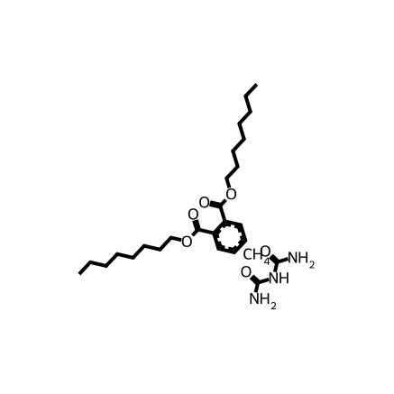 C.CCCCCCCCOC(=O)c1ccccc1C(=O)OCCCCCCCC.NC(=O)NC(N)=O